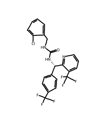 O=C(NCc1ccccc1Cl)N[C@@H](c1ccc(C(F)(F)F)cc1)c1ncccc1C(F)(F)F